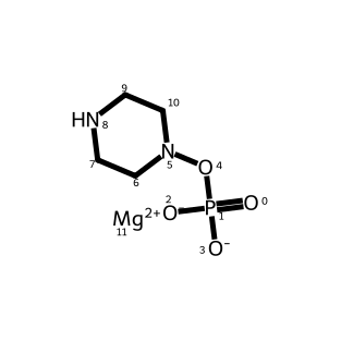 O=P([O-])([O-])ON1CCNCC1.[Mg+2]